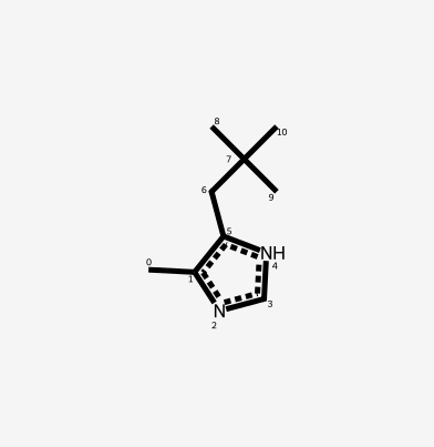 Cc1nc[nH]c1CC(C)(C)C